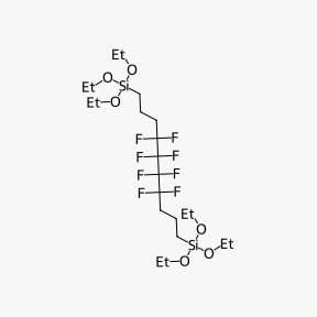 CCO[Si](CCCC(F)(F)C(F)(F)C(F)(F)C(F)(F)CCC[Si](OCC)(OCC)OCC)(OCC)OCC